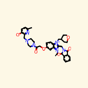 CCn1c(CN2C(=O)c3ccccc3C2=O)[n+](CC2CCOCC2)c2ccc(OCC(=O)N3CCN(Cc4nc(C)ccc4[O-])CC3)cc21